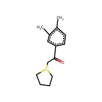 Cc1ccc(C(=O)C[S+]2CCCC2)cc1C